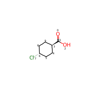 O=C(O)[C@H]1CC[C@H](Cl)CC1